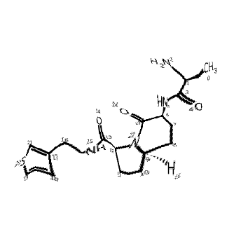 C[C@H](N)C(=O)N[C@H]1CC[C@H]2CC[C@@H](C(=O)NCc3ccsc3)N2C1=O